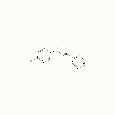 N#Cc1ccc(N/N=C/c2ccncc2)cc1